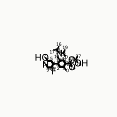 Cc1cc(-c2cc(O)ncc2F)c(CN(C(C)C)C(C)C)cc1C(=O)OC(C)O